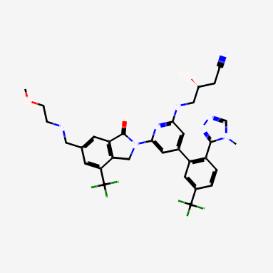 COCCNCc1cc2c(c(C(F)(F)F)c1)CN(c1cc(-c3cc(C(F)(F)F)ccc3-c3nncn3C)cc(NC[C@@H](O)CC#N)n1)C2=O